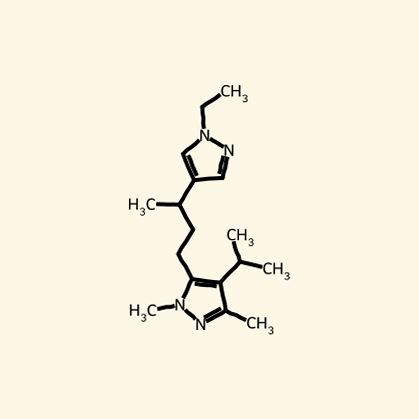 CCn1cc(C(C)CCc2c(C(C)C)c(C)nn2C)cn1